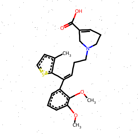 COc1cccc(C(=CCCN2CCC=C(C(=O)O)C2)c2sccc2C)c1OC